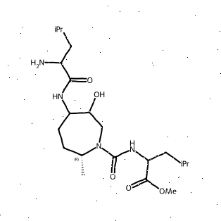 COC(=O)C(CC(C)C)NC(=O)N1CC(O)C(NC(=O)C(N)CC(C)C)CC[C@H]1C